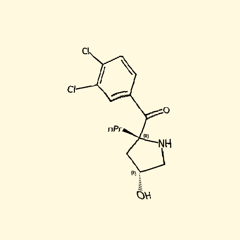 CCC[C@]1(C(=O)c2ccc(Cl)c(Cl)c2)C[C@@H](O)CN1